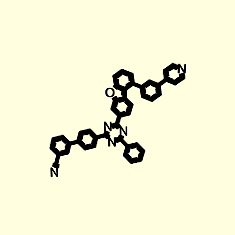 N#Cc1cccc(-c2ccc(-c3nc(-c4ccccc4)nc(-c4ccc5c(c4)oc4cccc(-c6cccc(-c7ccncc7)c6)c45)n3)cc2)c1